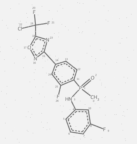 CP(=O)(Nc1cccc(F)c1)c1ccc(-c2noc(C(F)(F)Cl)n2)cc1F